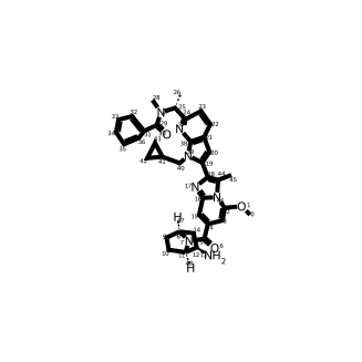 COc1cc(C(=O)N2[C@H]3CC[C@@H]2[C@H](N)C3)cc2nc(-c3cc4ccc([C@@H](C)N(C)C(=O)c5ccccc5)nc4n3CC3CC3)c(C)n12